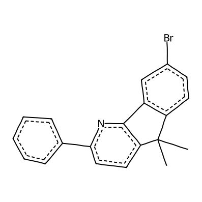 CC1(C)c2ccc(Br)cc2-c2nc(-c3ccccc3)ccc21